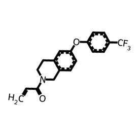 C=CC(=O)N1CCc2cc(Oc3ccc(C(F)(F)F)cc3)ccc2C1